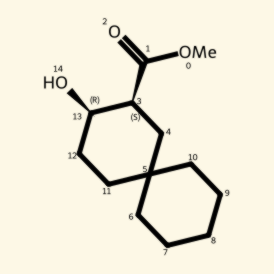 COC(=O)[C@H]1CC2(CCCCC2)CC[C@H]1O